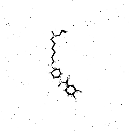 C=CCN(C)CCCCCCO[C@H]1CC[C@H](N(C)C(=O)c2ccc(F)c(C)c2)CC1